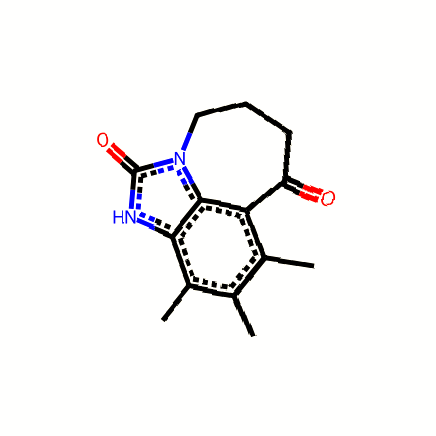 Cc1c(C)c2c3c([nH]c(=O)n3CCCC2=O)c1C